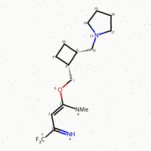 CN/C(=C\C(=N)C(F)(F)F)OC[C@@H]1CC[C@@H]1CN1CCCC1